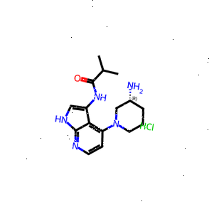 CC(C)C(=O)Nc1c[nH]c2nccc(N3CCC[C@@H](N)C3)c12.Cl